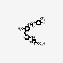 Cc1cc(NC(=O)Nc2ccc(Cl)c(C(F)(F)F)c2)ccc1Cc1nccc(Nc2cc(C(=O)O)n[nH]2)n1